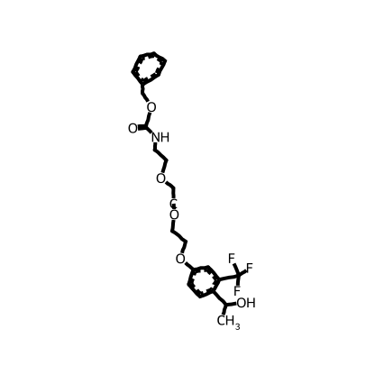 CC(O)c1ccc(OCCOCCOCCNC(=O)OCc2ccccc2)cc1C(F)(F)F